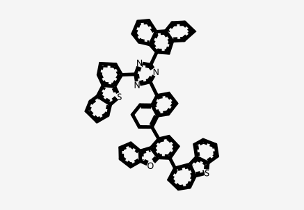 C1=c2c(-c3nc(-c4cc5ccccc5c5ccccc45)nc(-c4cccc5c4sc4ccccc45)n3)cccc2=C(c2ccc(-c3cccc4sc5ccccc5c34)c3oc4ccccc4c23)CC1